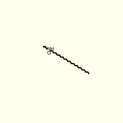 C=CCNC(=O)CCCCCCCCCCCCCCCCCCCCCC